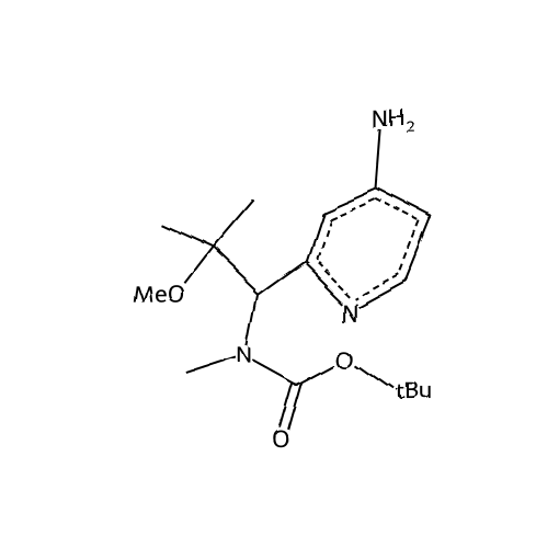 COC(C)(C)C(c1cc(N)ccn1)N(C)C(=O)OC(C)(C)C